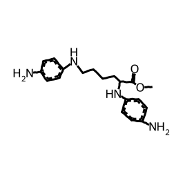 COC(=O)C(CCCCNc1ccc(N)cc1)Nc1ccc(N)cc1